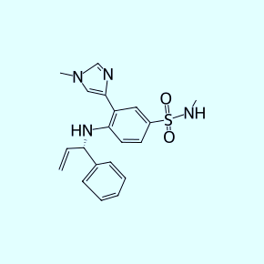 C=C[C@H](Nc1ccc(S(=O)(=O)NC)cc1-c1cn(C)cn1)c1ccccc1